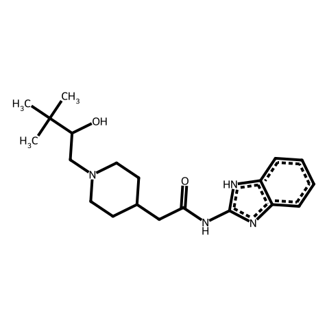 CC(C)(C)C(O)CN1CCC(CC(=O)Nc2nc3ccccc3[nH]2)CC1